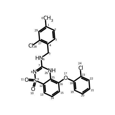 Cc1ccc(CNC2=NS(=O)(=O)c3cccc(Oc4ccccc4Cl)c3N2)c(Cl)c1